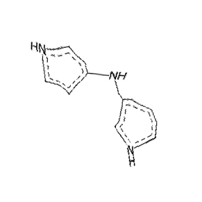 c1cc(Nc2cc[nH]c2)c[nH]1